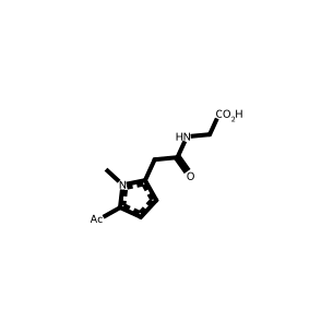 CC(=O)c1ccc(CC(=O)NCC(=O)O)n1C